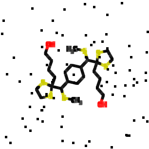 CSC(C1CCC(C(SC)C2(CCCCO)SCCS2)CC1)C1(CCCCO)SCCS1